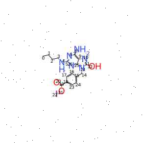 CCCCNc1nc(N)c2nc(O)n(Cc3ccc(C(=O)OI)cc3)c2n1